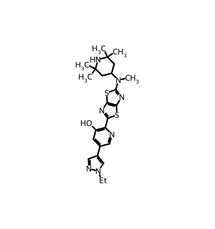 CCn1cc(-c2cnc(-c3nc4sc(N(C)C5CC(C)(C)NC(C)(C)C5)nc4s3)c(O)c2)cn1